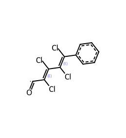 O=[C]/C(Cl)=C(Cl)/C(Cl)=C(\Cl)c1ccccc1